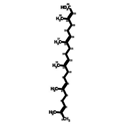 CC(C)=CCC/C(C)=C/CC/C(C)=C/CC/C(C)=C/CC/C(C)=C/C(=O)O